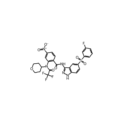 O=C(Nc1n[nH]c2ccc(S(=O)(=O)c3cccc(F)c3)cc12)c1ccc([N+](=O)[O-])cc1N(C(=O)C(F)(F)F)C1CCOCC1